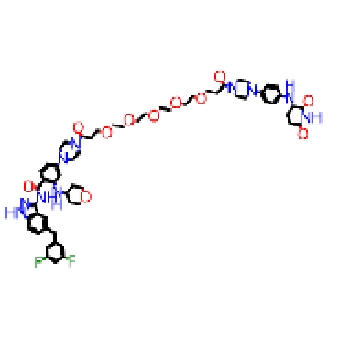 O=C1CCC(Nc2ccc(N3CCN(C(=O)CCOCCOCCOCCOCCOCCC(=O)N4CCN(c5ccc(C(=O)Nc6n[nH]c7ccc(Cc8cc(F)cc(F)c8)cc67)c(NC6CCOCC6)c5)CC4)CC3)cc2)C(=O)N1